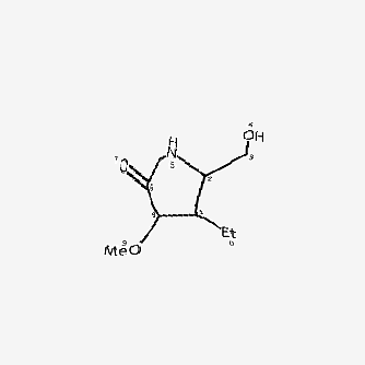 CCC1C(CO)NC(=O)C1OC